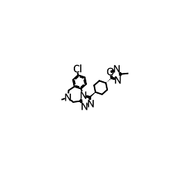 Cc1noc([C@H]2CC[C@H](c3nnc4n3-c3ccc(Cl)cc3CN(C)C4)CC2)n1